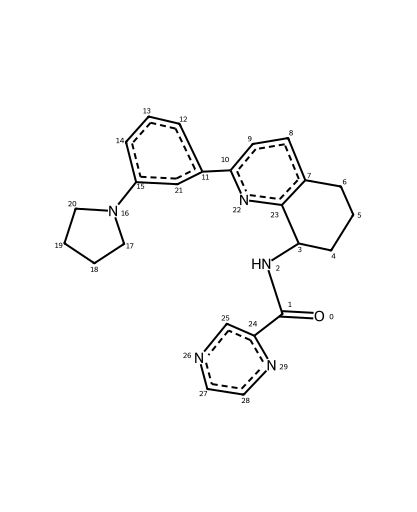 O=C(NC1CCCc2ccc(-c3cccc(N4CCCC4)c3)nc21)c1cnccn1